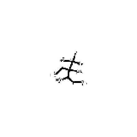 CCC(C)C(C)(CC)C(F)(F)S